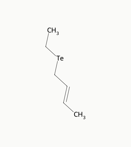 CC=CC[Te]CC